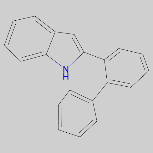 c1ccc(-c2ccccc2-c2cc3ccccc3[nH]2)cc1